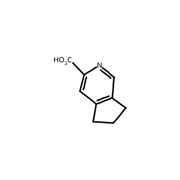 O=C(O)c1cc2c(cn1)CCC2